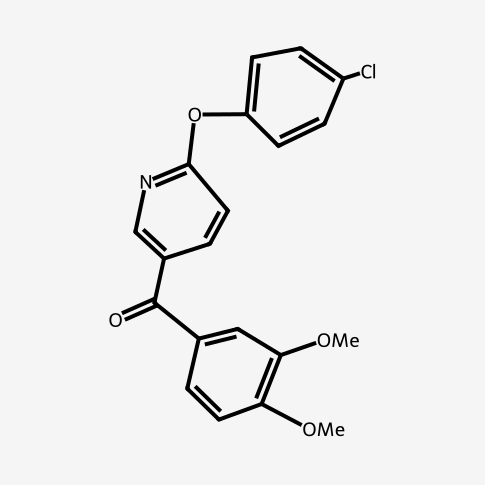 COc1ccc(C(=O)c2ccc(Oc3ccc(Cl)cc3)nc2)cc1OC